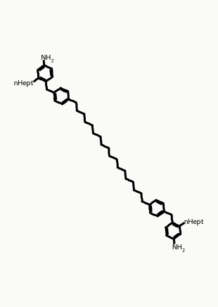 CCCCCCCc1cc(N)ccc1Cc1ccc(CCCCCCCCCCCCCCCCCCc2ccc(Cc3ccc(N)cc3CCCCCCC)cc2)cc1